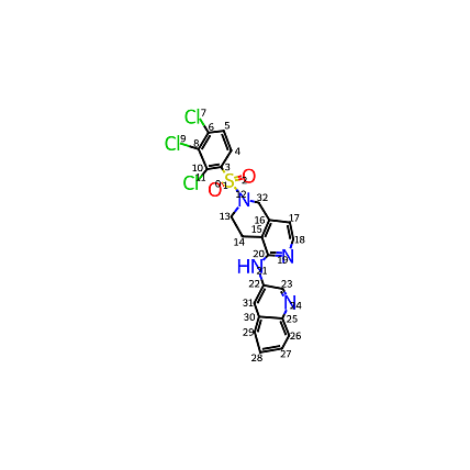 O=S(=O)(c1ccc(Cl)c(Cl)c1Cl)N1CCc2c(ccnc2Nc2cnc3ccccc3c2)C1